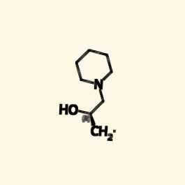 [CH2][C@@H](O)CN1CCCCC1